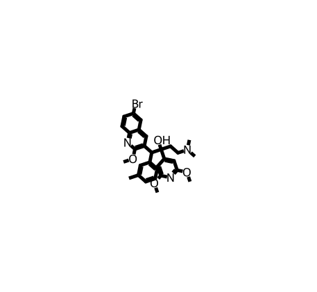 COc1cc(C(O)(CCN(C)C)C(c2cccc(C)c2)c2cc3cc(Br)ccc3nc2OC)cc(OC)n1